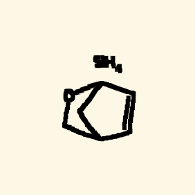 C1=CC2CC1CO2.[SiH4]